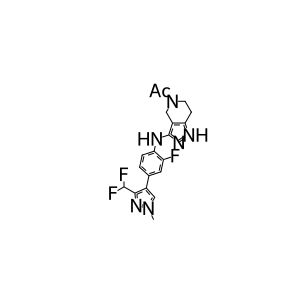 CC(=O)N1CCc2[nH]nc(Nc3ccc(-c4cn(C)nc4C(F)F)cc3F)c2C1